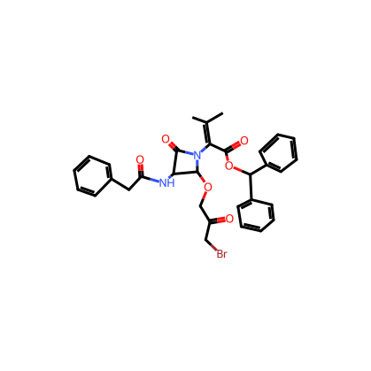 CC(C)=C(C(=O)OC(c1ccccc1)c1ccccc1)N1C(=O)C(NC(=O)Cc2ccccc2)C1OCC(=O)CBr